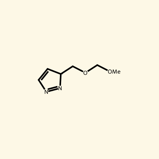 COCOC[C]1C=CN=N1